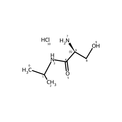 CC(C)NC(=O)[C@@H](N)CO.Cl